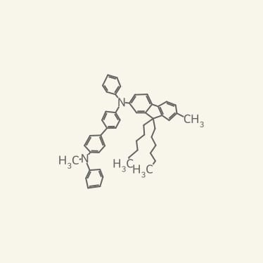 CCCCCCC1(CCCCCC)c2cc(C)ccc2-c2ccc(N(c3ccccc3)c3ccc(-c4ccc(N(C)c5ccccc5)cc4)cc3)cc21